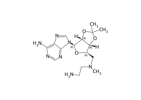 CN(CCN)C[C@H]1O[C@@H](n2cnc3c(N)ncnc32)[C@@H]2OC(C)(C)O[C@@H]21